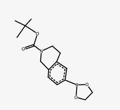 CC(C)(C)OC(=O)N1CCc2cc(B3OCCO3)ccc2C1